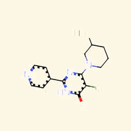 CC1CCCN(c2nc(-c3ccncc3)[nH]c(=O)c2Cl)C1